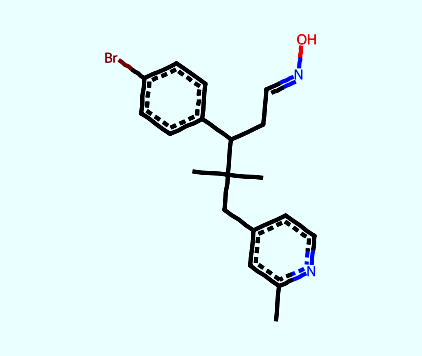 Cc1cc(CC(C)(C)C(CC=NO)c2ccc(Br)cc2)ccn1